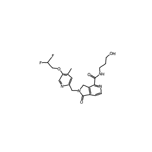 Cc1cc(CN2Cc3c(ccnc3C(=O)NCCCO)C2=O)ncc1OCC(F)F